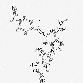 CONc1nc(C#Cc2ccc(CC#N)cc2)nc2c1ncn2[C@@H]1O[C@@H](CC(N)=O)[C@H](O)[C@H]1O